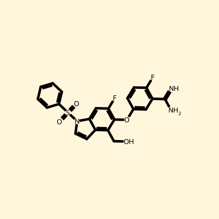 N=C(N)c1cc(Oc2c(F)cc3c(ccn3S(=O)(=O)c3ccccc3)c2CO)ccc1F